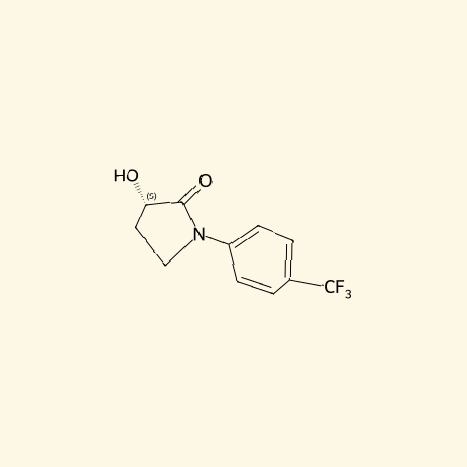 O=C1[C@@H](O)CCN1c1ccc(C(F)(F)F)cc1